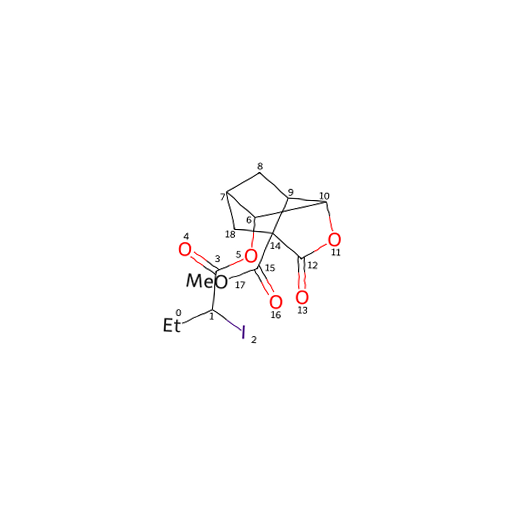 CCC(I)C(=O)OC1C2CC3C1OC(=O)C3(C(=O)OC)C2